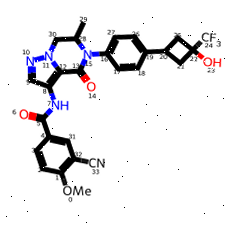 COc1ccc(C(=O)Nc2cnn3c2C(=O)N(c2ccc(C4CC(O)(C(F)(F)F)C4)cc2)C(C)C3)cc1C#N